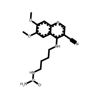 COc1cc2ncc(C#N)c(NCCCCN[S+](N)[O-])c2cc1OC